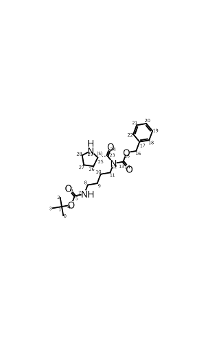 CC(C)(C)OC(=O)NCCCCN(C(=O)OCc1ccccc1)C(=O)[C@@H]1CCCN1